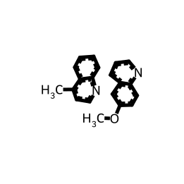 COc1ccc2ncccc2c1.Cc1ccnc2ccccc12